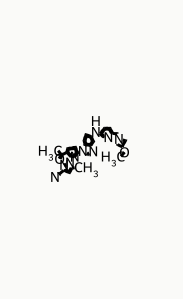 COC1CN(Cc2ccc(Nc3ccc4c(c3)ncn4-c3ccc(C(C)=O)c(-n4nc(C#N)cc4C)n3)cn2)C1